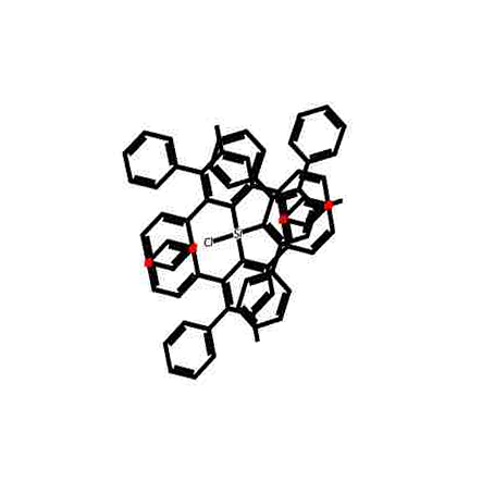 Cc1cc(-c2ccccc2)c([Si](Cl)(c2c(-c3ccccc3)cc(C)c(-c3ccccc3)c2-c2ccccc2)c2c(-c3ccccc3)cc(C)c(-c3ccccc3)c2-c2ccccc2)c(-c2ccccc2)c1-c1ccccc1